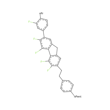 CCCCCc1ccc(CCc2cc3c(c(F)c2F)-c2c(cc(-c4ccc(CCC)c(F)c4)c(F)c2F)C3)cc1